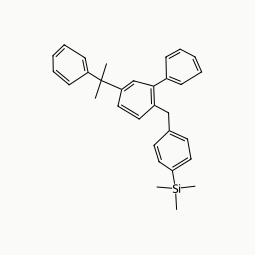 CC(C)(c1ccccc1)c1ccc(Cc2ccc([Si](C)(C)C)cc2)c(-c2ccccc2)c1